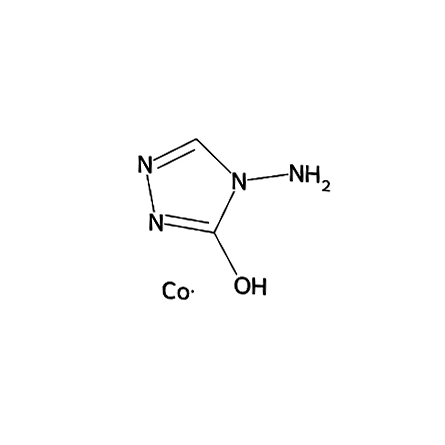 Nn1cnnc1O.[Co]